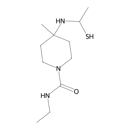 CCNC(=O)N1CCC(C)(NC(C)S)CC1